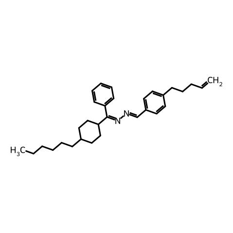 C=CCCCc1ccc(C=NN=C(c2ccccc2)C2CCC(CCCCCC)CC2)cc1